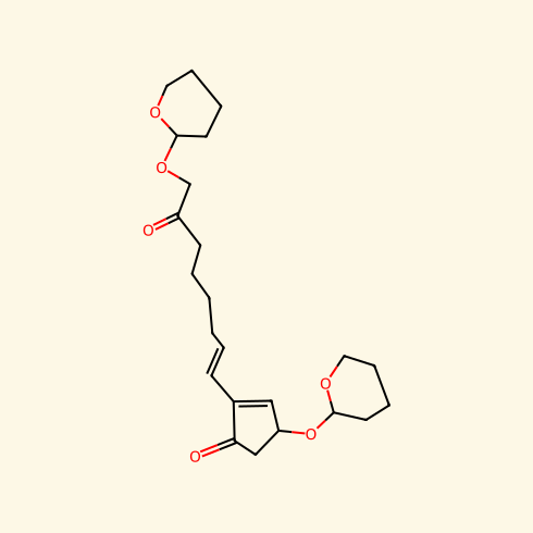 O=C(CCCCC=CC1=CC(OC2CCCCO2)CC1=O)COC1CCCCO1